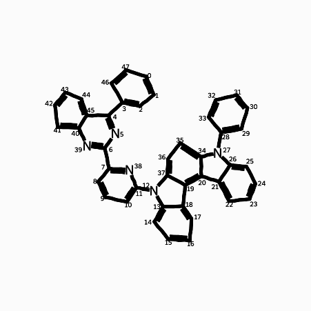 c1ccc(-c2nc(-c3cccc(-n4c5ccccc5c5c6c7ccccc7n(-c7ccccc7)c6ccc54)n3)nc3ccccc23)cc1